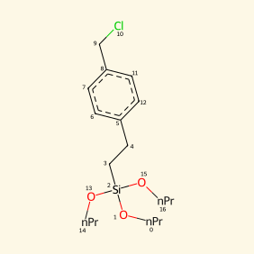 CCCO[Si](CCc1ccc(CCl)cc1)(OCCC)OCCC